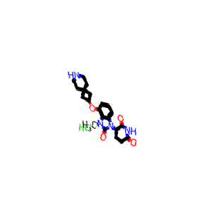 Cl.Cn1c(=O)n(C2CCC(=O)NC2=O)c2cccc(OC3CC4(CCNCC4)C3)c21